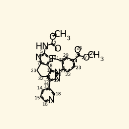 COC(=O)Nc1nc2c(s1)-c1c(c(-c3cccnc3)nn1-c1ccc(C(=O)OC)cc1F)CC2